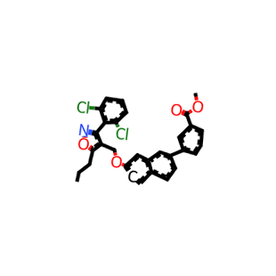 CCCc1onc(-c2c(Cl)cccc2Cl)c1COc1ccc2ccc(-c3cccc(C(=O)OC)c3)cc2c1